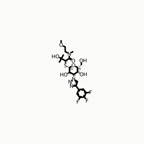 COCCN(C)C(=O)[C@@H](S[C@@H]1O[C@H](CO)[C@H](O)[C@H](n2cc(-c3cc(F)c(F)c(F)c3)nn2)[C@H]1O)C(C)(C)O